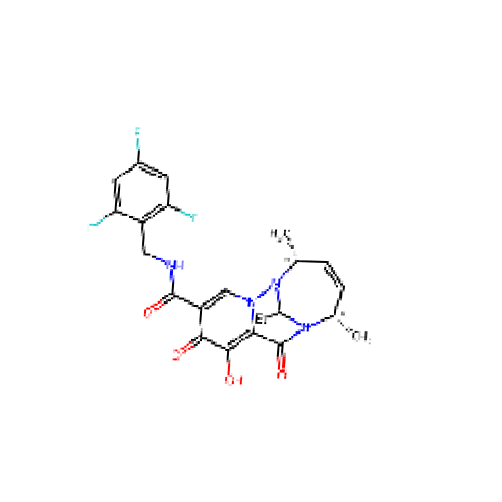 CCC1N2C(=O)c3c(O)c(=O)c(C(=O)NCc4c(F)cc(F)cc4F)cn3N1[C@H](C)C=C[C@@H]2C